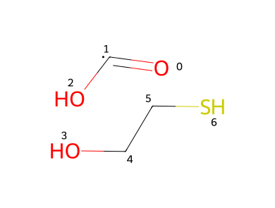 O=[C]O.OCCS